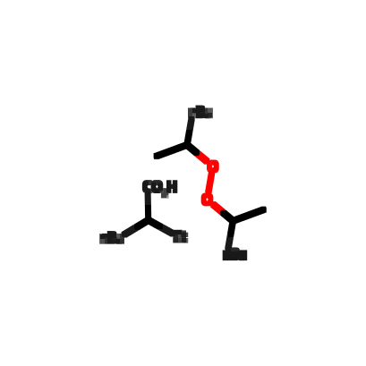 CCCCC(C)OOC(C)CCCC.CCCCC(CC)C(=O)O